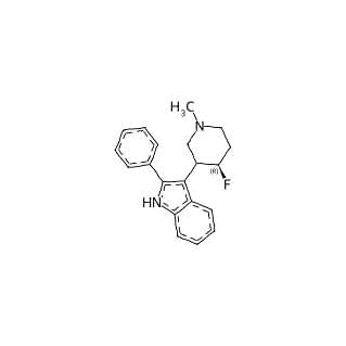 CN1CC[C@@H](F)C(c2c(-c3ccccc3)[nH]c3ccccc23)C1